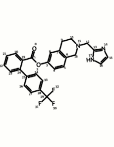 O=C(Oc1ccc2c(c1)CCN(Cc1ncc[nH]1)C2)c1ccccc1-c1ccc(C(F)(F)F)cc1